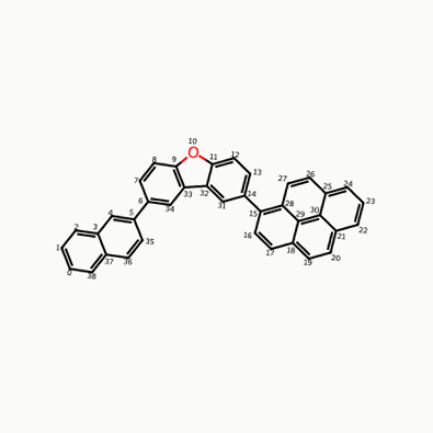 c1ccc2cc(-c3ccc4oc5ccc(-c6ccc7ccc8cccc9ccc6c7c89)cc5c4c3)ccc2c1